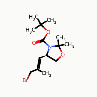 CC(=C[C@@H]1COC(C)(C)N1C(=O)OC(C)(C)C)CBr